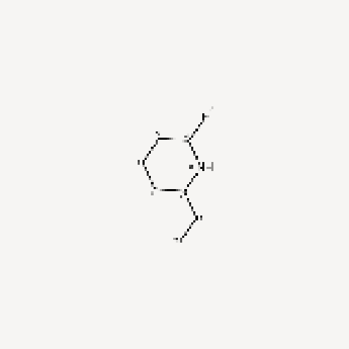 CCC1CCCC(F)N1